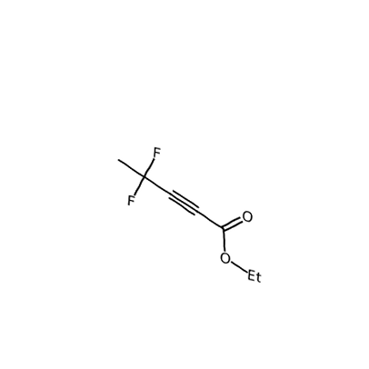 CCOC(=O)C#CC(C)(F)F